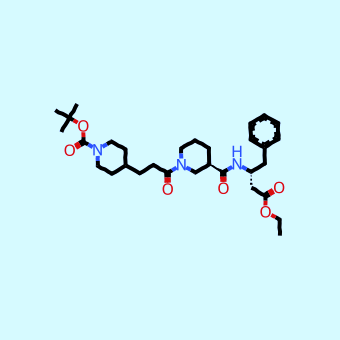 CCOC(=O)C[C@@H](Cc1ccccc1)NC(=O)[C@@H]1CCCN(C(=O)CCC2CCN(C(=O)OC(C)(C)C)CC2)C1